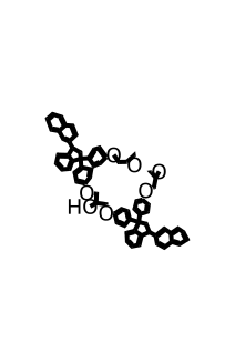 OC(COc1ccc(C2(c3ccc(OCC4CO4)cc3)CC(c3ccc4ccccc4c3)c3ccccc32)cc1)COc1ccc(C2(c3ccc(OCC4CO4)cc3)CC(c3ccc4ccccc4c3)c3ccccc32)cc1